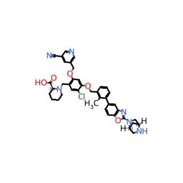 Cc1c(COc2cc(OCc3cncc(C#N)c3)c(CN3CCCC[C@H]3C(=O)O)cc2Cl)cccc1-c1ccc2oc(N3C[C@@H]4C[C@H]3CN4)nc2c1